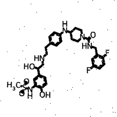 CS(=O)(=O)Nc1cc(C(O)CNCCc2ccc(NC3CCN(C(=O)NCc4cc(F)ccc4F)CC3)cc2)ccc1O